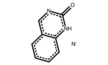 O=c1ncc2ccccc2[nH]1.[N]